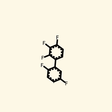 Fc1[c]cc(F)c(-c2ccc(F)c(F)c2F)c1